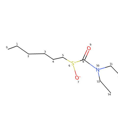 CCCCCC[S+]([O-])C(=O)N(CC)CC